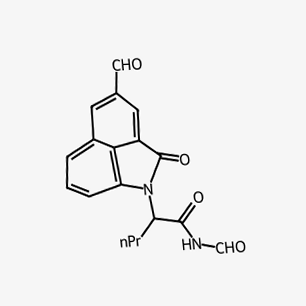 CCCC(C(=O)NC=O)N1C(=O)c2cc(C=O)cc3cccc1c23